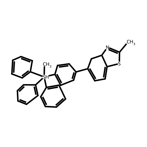 CC1=NC2CC(c3ccc([SH](C)(c4ccccc4)(c4ccccc4)c4ccccc4)cc3)=CC=C2S1